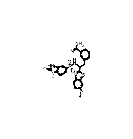 COc1ccc2nc(C(Cc3cccc(C(=N)N)c3)NS(=O)(=O)c3ccc4[nH]c(=O)[nH]c4c3)sc2c1